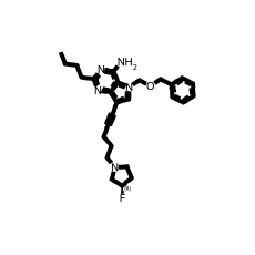 CCCCc1nc(N)c2c(n1)c(C#CCCCN1CC[C@@H](F)C1)cn2COCc1ccccc1